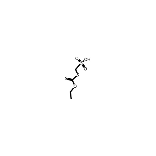 CCOC(=S)SCS(=O)(=O)O